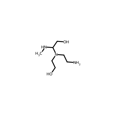 CNC(CO)N(CCN)CCO